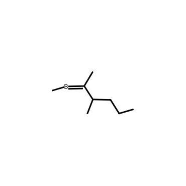 CB=C(C)C(C)CCC